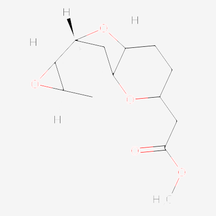 COC(=O)CC1CC[C@@H]2O[C@@H]3C[C@]2(C[C@H]2O[C@H]23)O1